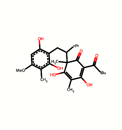 CCCC(Cc1c(O)cc(OC)c(C)c1O)C1(C)C(=O)C(C(=O)C(C)CC)=C(O)C(C)=C1O